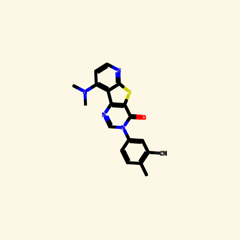 Cc1ccc(-n2cnc3c(sc4nccc(N(C)C)c43)c2=O)cc1C#N